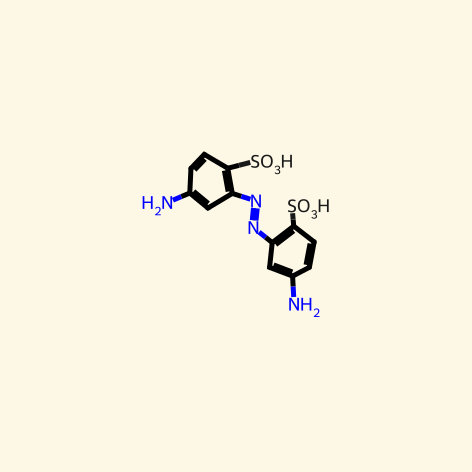 Nc1ccc(S(=O)(=O)O)c(N=Nc2cc(N)ccc2S(=O)(=O)O)c1